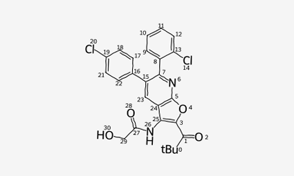 CC(C)(C)C(=O)c1oc2nc(-c3ccccc3Cl)c(-c3ccc(Cl)cc3)cc2c1NC(=O)CO